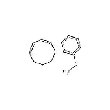 BOc1ccccc1.C1=CCCCCC=C1